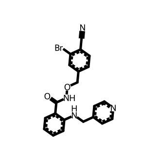 N#Cc1ccc(CONC(=O)c2ccccc2NCc2ccncc2)cc1Br